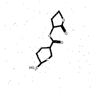 O=C(OC1CCOC1=O)C1CCC(S(=O)(=O)O)CC1